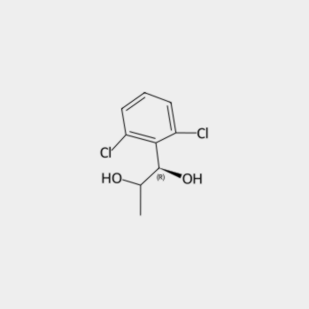 CC(O)[C@H](O)c1c(Cl)cccc1Cl